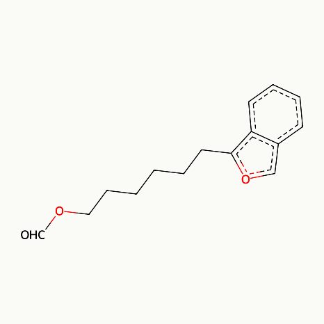 O=COCCCCCCc1occ2ccccc12